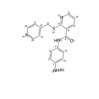 CC(=O)Nc1ccc(NC(=O)c2cccnc2SCc2ccncc2)cc1